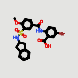 COc1ccc(C(=O)Nc2ccc(Br)cc2C(=O)O)cc1S(=O)(=O)NC1Cc2ccccc2C1